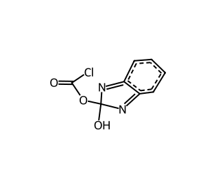 O=C(Cl)OC1(O)N=c2ccccc2=N1